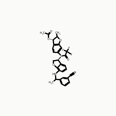 CC(=O)O[C@H]1c2ccc(N(C(=O)C(F)(F)F)[C@@H]3COc4c(NC(C)c5cccc(C#N)c5)cccc43)cc2OC1C